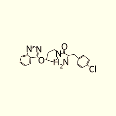 NC(Cc1ccc(Cl)cc1)C(=O)N1CCC(Oc2ncnc3ccccc23)CC1